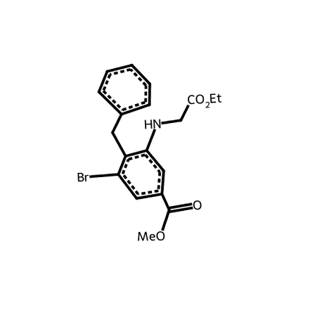 CCOC(=O)CNc1cc(C(=O)OC)cc(Br)c1Cc1ccccc1